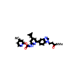 CNC(=O)CCn1cnc2cc(-c3cc(C4CC4)cc(NC(=O)Oc4cc(C#N)ccn4)n3)ccc21